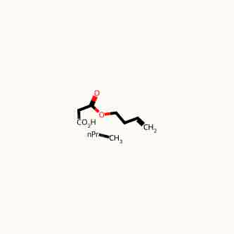 C=CCCOC(=O)CC(=O)O.CCCC